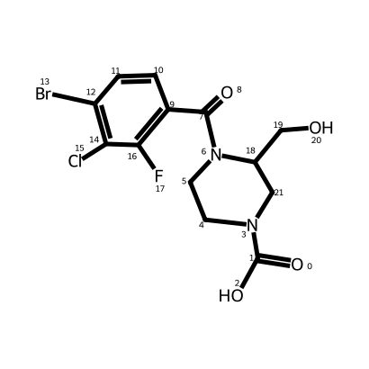 O=C(O)N1CCN(C(=O)c2ccc(Br)c(Cl)c2F)C(CO)C1